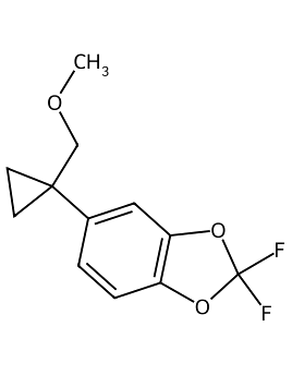 COCC1(c2ccc3c(c2)OC(F)(F)O3)CC1